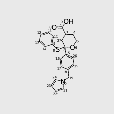 O=C(O)C1CCOC(Sc2ccccc2)(c2ccc(Cn3cccc3)cc2)C1